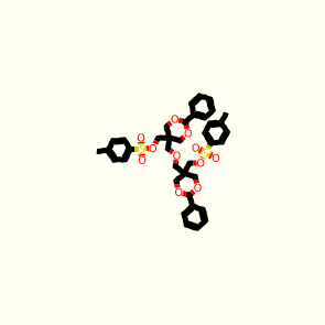 Cc1ccc(S(=O)(=O)OCC2(COCC3(COS(=O)(=O)c4ccc(C)cc4)COC(c4ccccc4)OC3)COC(c3ccccc3)OC2)cc1